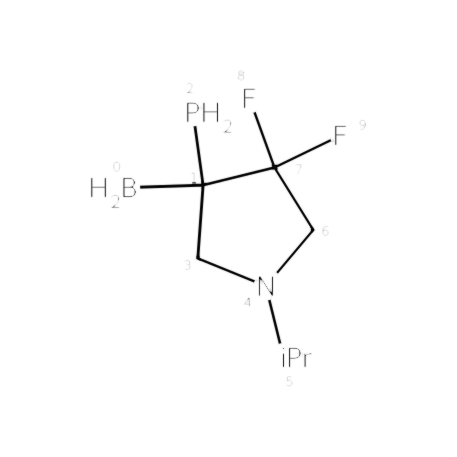 BC1(P)CN(C(C)C)CC1(F)F